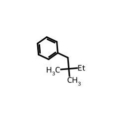 [CH2]CC(C)(C)Cc1ccccc1